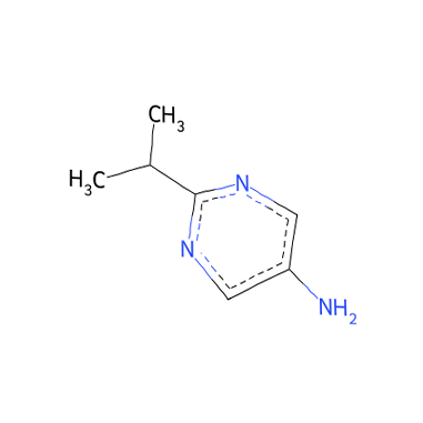 CC(C)c1ncc(N)cn1